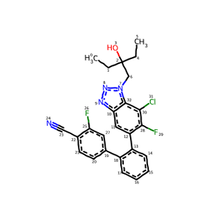 CCC(O)(CC)Cn1nnc2cc(-c3ccccc3-c3ccc(C#N)c(F)c3)c(F)c(Cl)c21